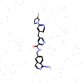 Nc1nccc2cc(CNC(=O)c3cncc(Cc4ccnc(N5CCC(F)C5)c4)c3)ccc12